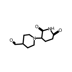 O=CC1CCN(C2CCC(=O)NC2=O)CC1